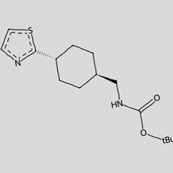 CC(C)(C)OC(=O)NC[C@H]1CC[C@H](c2nccs2)CC1